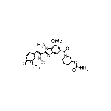 CCn1c(-c2nc3cc(C(=O)N4CCCC(OC(N)=O)C4)cc(OC)c3n2C)cc2ccc(=O)n(C)c21